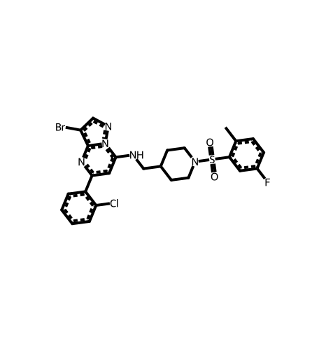 Cc1ccc(F)cc1S(=O)(=O)N1CCC(CNc2cc(-c3ccccc3Cl)nc3c(Br)cnn23)CC1